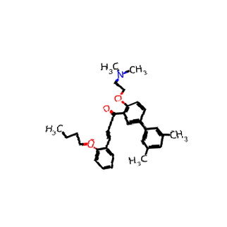 CCCCOc1ccccc1/C=C/C(=O)c1cc(-c2cc(C)cc(C)c2)ccc1OCCN(C)C